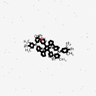 Cc1cc(N(c2cc(C)c(C(C)C)c(C)c2)c2ccc3c4cccc5c6c(-c7ccccc7)c7c(c(-c8ccccc8)c6n(c3c2)c45)c2cccc3c4ccc(N(c5cc(C)c(C(C)C)c(C)c5)c5cc(C)c(C(C)C)c(C)c5)cc4n7c32)cc(C)c1C(C)C